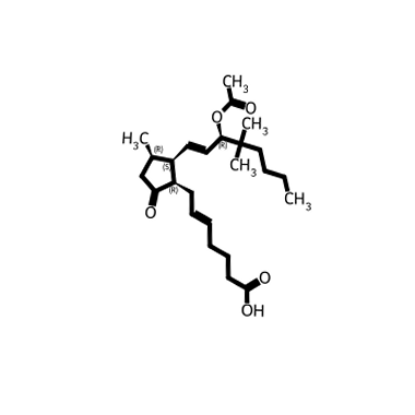 CCCCC(C)(C)[C@@H](C=C[C@@H]1[C@H](C)CC(=O)[C@@H]1CC=CCCCC(=O)O)OC(C)=O